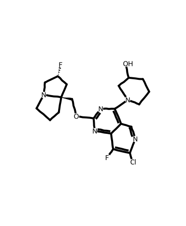 OC1CCCN(c2nc(OC[C@@]34CCCN3C[C@H](F)C4)nc3c(F)c(Cl)ncc23)C1